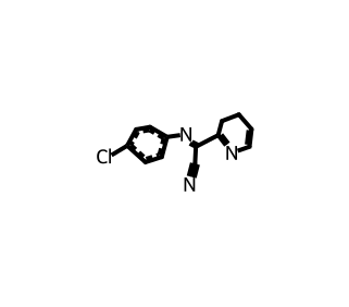 N#CC(=Nc1ccc(Cl)cc1)C1=NC=CCC1